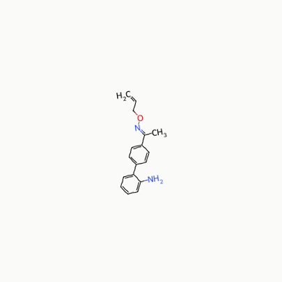 C=CCON=C(C)c1ccc(-c2ccccc2N)cc1